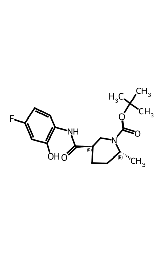 C[C@@H]1CC[C@@H](C(=O)Nc2ccc(F)cc2O)CN1C(=O)OC(C)(C)C